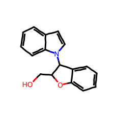 OCC1Oc2ccccc2C1n1ccc2ccccc21